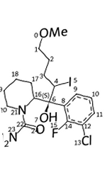 COCCCC(I)[C@](O)(c1cccc(Cl)c1F)C1CCCCN1C(N)=O